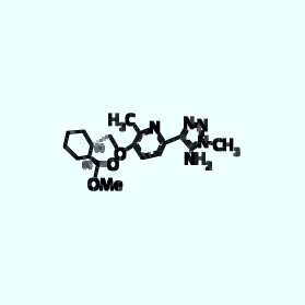 COC(=O)[C@H]1CCCC[C@@H]1COc1ccc(-c2nnn(C)c2N)nc1C